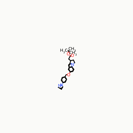 CC(C)(C)OC(=O)CC1CCn2c1cc1cc(OCc3ccc(-n4cccn4)cc3)ccc12